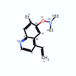 C=Cc1ccnc2cc(CC)c(ON(CC)CC)cc12